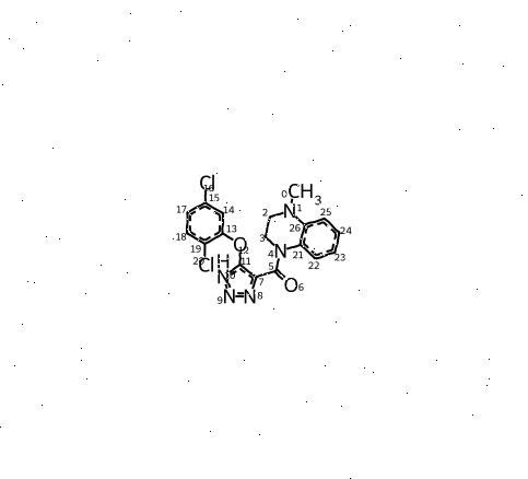 CN1CCN(C(=O)c2nn[nH]c2Oc2cc(Cl)ccc2Cl)c2ccccc21